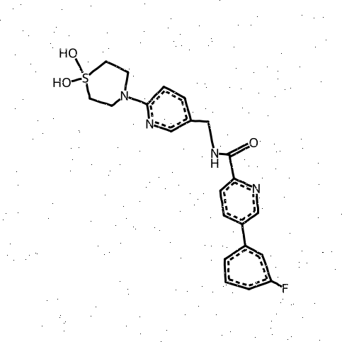 O=C(NCc1ccc(N2CCS(O)(O)CC2)nc1)c1ccc(-c2cccc(F)c2)cn1